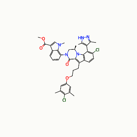 COC(=O)c1cn(C)c2c(N3C[C@@H](C)n4c(c(CCCOc5cc(C)c(Cl)c(C)c5)c5ccc(Cl)c(-c6c(C)n[nH]c6C)c54)C3=O)cccc12